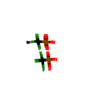 O=S(=O)(O)C(F)(F)F.O=S(=O)(O)C(F)(F)F.[Sn+2]